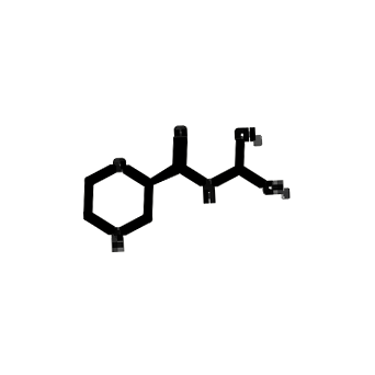 CC(C)NC(=O)[C@H]1CNCCO1